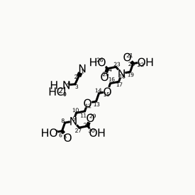 Cl.N#CCN.O=C(O)CN(CCOCCOCCN(CC(=O)O)CC(=O)O)CC(=O)O